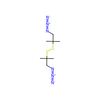 CC(C)(CN=[N+]=[N-])SSC(C)(C)CN=[N+]=[N-]